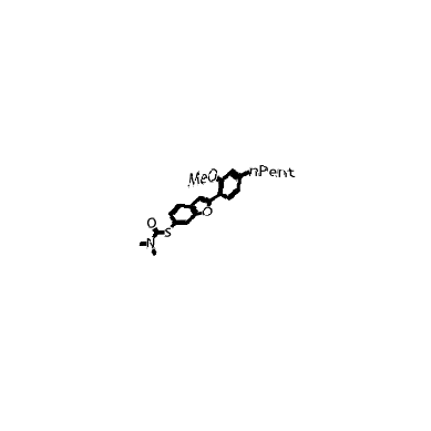 CCCCCc1ccc(-c2cc3ccc(SC(=O)N(C)C)cc3o2)c(OC)c1